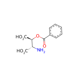 N[C@H](C(=O)O)[C@H](OC(=O)c1ccccc1)C(=O)O